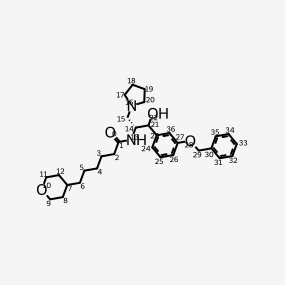 O=C(CCCCCC1CCOCC1)N[C@H](CN1CCCC1)C(O)c1cccc(OCc2ccccc2)c1